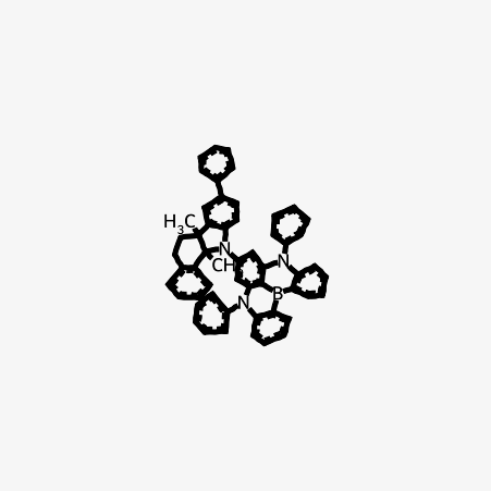 CC12CCc3ccccc3C1(C)N(c1cc3c4c(c1)N(c1ccccc1)c1ccccc1B4c1ccccc1N3c1ccccc1)c1ccc(-c3ccccc3)cc12